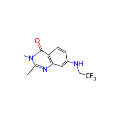 Cc1nc2cc(NCC(F)(F)F)ccc2c(=O)n1C